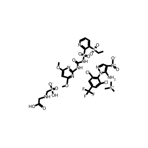 CCS(=O)(=O)c1cccnc1S(=O)(=O)NC(=O)Nc1nc(OC)cc(OC)n1.C[S+](C)C.Nc1c([N+](=O)[O-])cnn1-c1c(Cl)cc(C(F)(F)F)cc1Cl.O=C(O)CNCP(=O)([O-])O